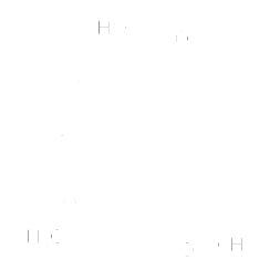 COc1ccc(C2C3C=CC(C3)C2CC(=O)O)c(OC)c1